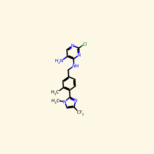 Cc1cc(CNc2nc(Cl)ncc2N)ccc1-c1nc(C(F)(F)F)cn1C